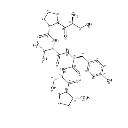 C[C@@H](O)[C@H](NC(=O)[C@@H]1CCCN1C(=O)[C@@H](N)CO)C(=O)N[C@@H](Cc1ccc(O)cc1)C(=O)N[C@@H](CO)C(=O)N1CCC[C@H]1C(=O)O